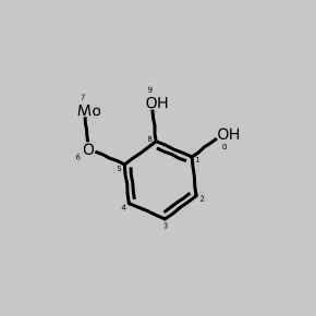 Oc1cccc([O][Mo])c1O